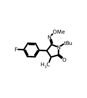 CON=C1C(c2ccc(F)cc2)C(C)C(=O)N1C(C)(C)C